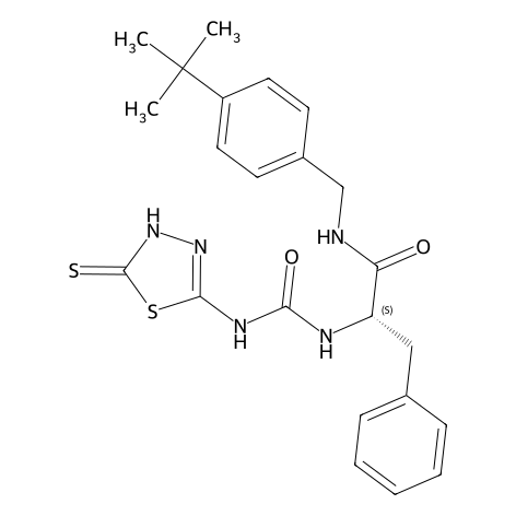 CC(C)(C)c1ccc(CNC(=O)[C@H](Cc2ccccc2)NC(=O)Nc2n[nH]c(=S)s2)cc1